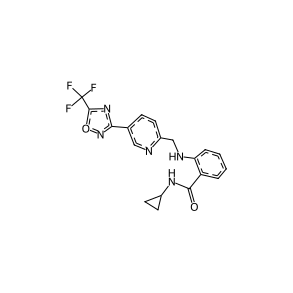 O=C(NC1CC1)c1ccccc1NCc1ccc(-c2noc(C(F)(F)F)n2)cn1